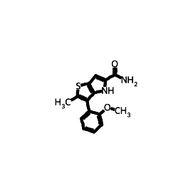 COc1ccccc1-c1c(C)sc2cc(C(N)=O)[nH]c12